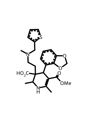 COC(=O)C1=C(C)NC(C)C(CCN(C)Cc2cccs2)(C(=O)O)C1c1cccc2c1OCO2